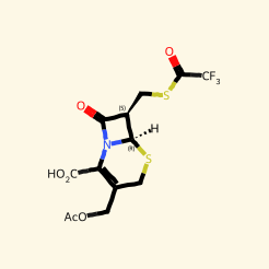 CC(=O)OCC1=C(C(=O)O)N2C(=O)[C@@H](CSC(=O)C(F)(F)F)[C@H]2SC1